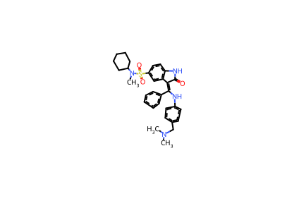 CN(C)Cc1ccc(N/C(=C2\C(=O)Nc3ccc(S(=O)(=O)N(C)C4CCCCC4)cc32)c2ccccc2)cc1